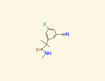 CNC(=S)C(C)(C)c1cc(F)cc(C#N)c1